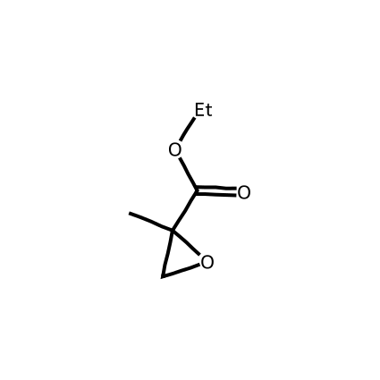 CCOC(=O)C1(C)CO1